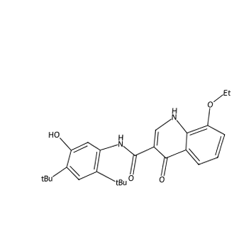 CCOc1cccc2c(=O)c(C(=O)Nc3cc(O)c(C(C)(C)C)cc3C(C)(C)C)c[nH]c12